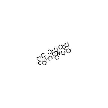 c1ccc(N(c2ccc(-c3cccc(N(c4cccc(C5(c6ccccc6)c6ccccc6-c6ccccc65)c4)c4cccc5c4oc4ccccc45)c3)cc2)c2cccc3oc4ccccc4c23)cc1